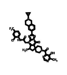 Cc1ncnc(C(=O)N2CCC3(CC2)CC(C)c2c3c(=O)n3nc(-c4ccc5c(c4)CCN(C4CC4)C5)nc3n2CC(=O)Nc2ccc(C(F)(F)F)cc2Cl)c1O